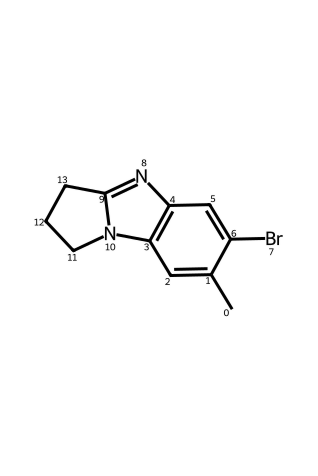 Cc1cc2c(cc1Br)nc1n2CCC1